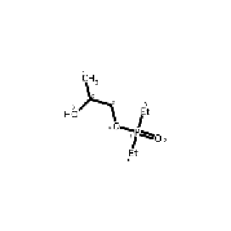 CCP(=O)(CC)OCC(C)O